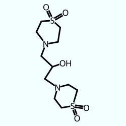 O=S1(=O)CCN(CC(O)CN2CCS(=O)(=O)CC2)CC1